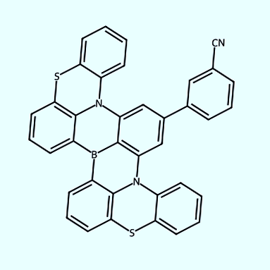 N#Cc1cccc(-c2cc3c4c(c2)N2c5ccccc5Sc5cccc(c52)B4c2cccc4c2N3c2ccccc2S4)c1